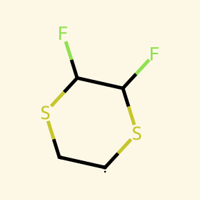 FC1S[CH]CSC1F